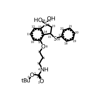 CC(C)(C)OC(=O)NCCCOc1cccc2c1C(Sc1ccccc1)CS2(O)O